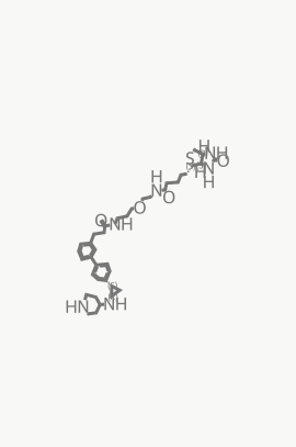 O=C(CCCC[C@@H]1SC[C@@H]2NC(=O)N[C@@H]21)NCCOCCCNC(=O)CCc1cccc(-c2ccc([C@@H]3C[C@H]3NC3CCNCC3)cc2)c1